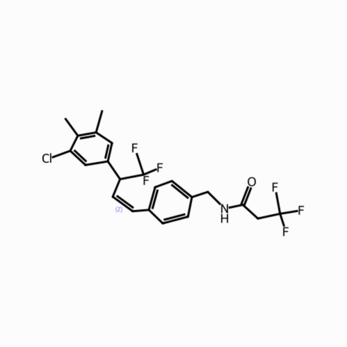 Cc1cc(C(/C=C\c2ccc(CNC(=O)CC(F)(F)F)cc2)C(F)(F)F)cc(Cl)c1C